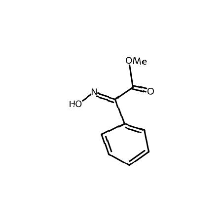 COC(=O)/C(=N/O)c1ccccc1